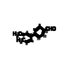 C=C/C=C(\C=C/C)c1ccc(C=O)cc1